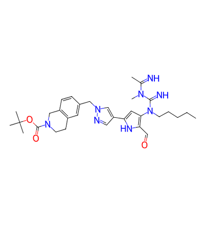 CCCCCN(C(=N)N(C)C(C)=N)c1cc(-c2cnn(Cc3ccc4c(c3)CCN(C(=O)OC(C)(C)C)C4)c2)[nH]c1C=O